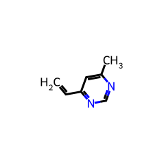 C=Cc1cc(C)ncn1